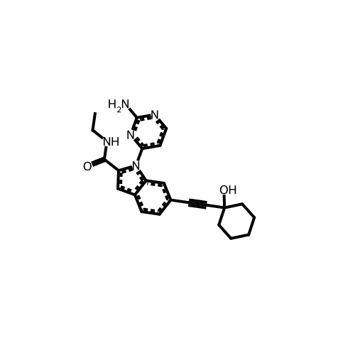 CCNC(=O)c1cc2ccc(C#CC3(O)CCCCC3)cc2n1-c1ccnc(N)n1